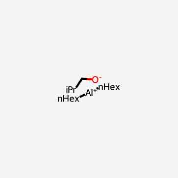 CC(C)C[O-].CCCCC[CH2][Al+][CH2]CCCCC